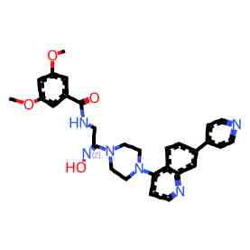 COc1cc(OC)cc(C(=O)NC/C(=N/O)N2CCN(c3ccnc4cc(-c5ccncc5)ccc34)CC2)c1